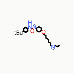 C=CCN(C)CCCCCCCOC1CCC(N(C)C(=O)Nc2ccc(C(C)(C)C)cc2)CC1